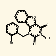 O=c1c2oc3ccccc3c2n(Cc2ccccc2Br)c(=O)n1O